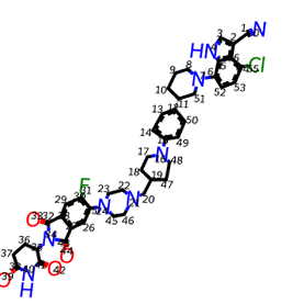 N#Cc1c[nH]c2c(N3CCC[C@@H](c4ccc(N5CCC(CN6CCN(c7cc8c(cc7F)C(=O)N(C7CCC(=O)NC7=O)C8=O)CC6)CC5)cc4)C3)ccc(Cl)c12